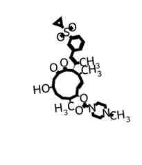 C/C(=C\c1cccc(S(=O)(=O)C2CC2)c1)[C@H]1C(=O)C(=O)C[C@H](O)CC[C@H](C)[C@@H](OC(=O)N2CCN(C)CC2)/C=C/[C@@H]1C